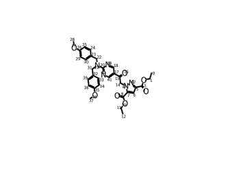 CCOC(=O)c1cc(C(=O)OCC)n(CC(=O)c2cnc(N(Cc3ccc(OC)cc3)Cc3ccc(OC)cc3)nc2)n1